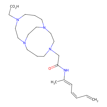 C=C/C=C\C=C(/C)NC(=O)CN1CCCN2CCN(CCCN(CC(=O)O)CC2)CC1